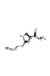 CCCCCCCc1nc(C(N)=O)cs1